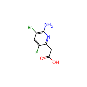 Nc1nc(CC(=O)O)c(F)cc1Br